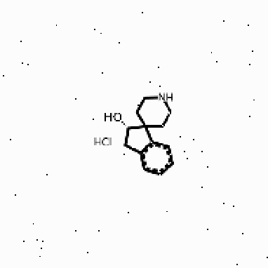 Cl.O[C@H]1Cc2ccccc2C12CCNCC2